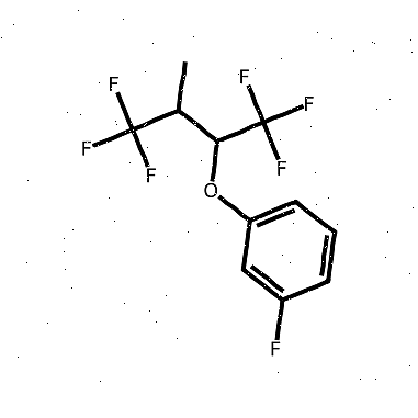 CC(C(Oc1cccc(F)c1)C(F)(F)F)C(F)(F)F